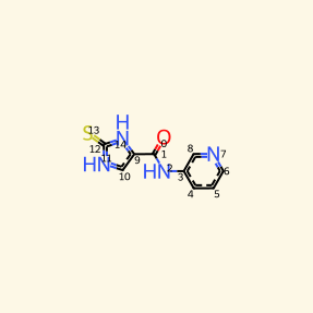 O=C(Nc1cccnc1)c1c[nH]c(=S)[nH]1